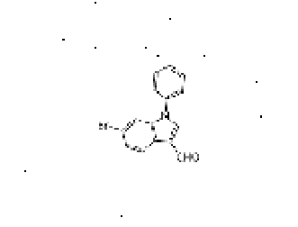 O=Cc1cn(-c2ccccc2)c2cc(Br)ccc12